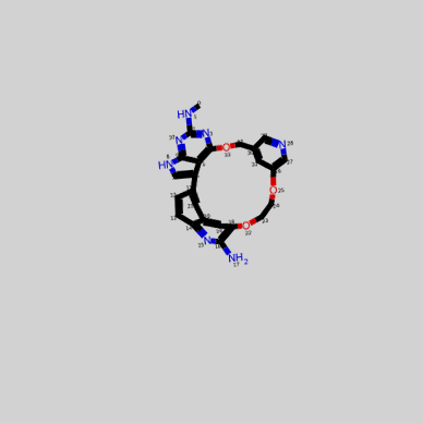 CNc1nc2c3c(c[nH]c3n1)-c1ccc3nc(N)c(cc3c1)OCCOc1cncc(c1)CO2